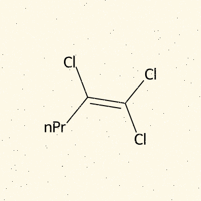 CCCC(Cl)=C(Cl)Cl